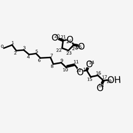 CCCCCCCCCCC=COC(=O)CCC(=O)O.O=C1CCC(=O)O1